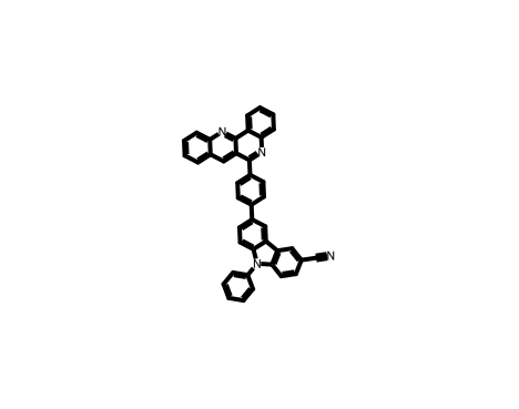 N#Cc1ccc2c(c1)c1cc(-c3ccc(-c4nc5ccccc5c5nc6ccccc6cc45)cc3)ccc1n2-c1ccccc1